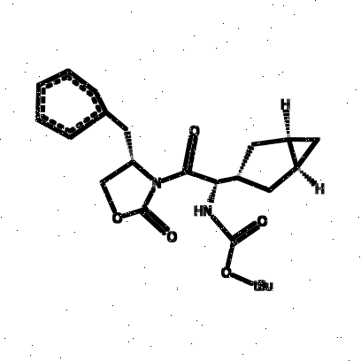 CC(C)(C)OC(=O)N[C@H](C(=O)N1C(=O)OC[C@@H]1Cc1ccccc1)[C@@H]1C[C@H]2C[C@H]2C1